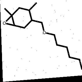 CCCCCCOCC1CC2OC2(C)CC1C